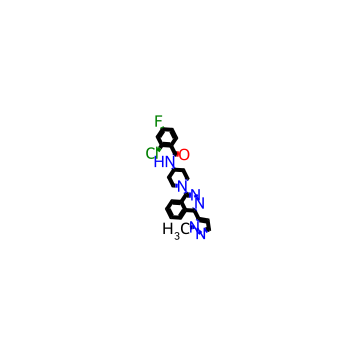 Cn1nccc1-c1nnc(N2CCC(NC(=O)c3ccc(F)cc3Cl)CC2)c2ccccc12